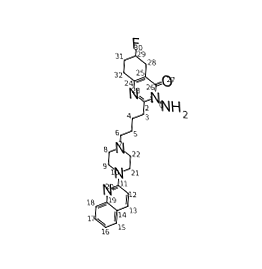 Nn1c(CCCCN2CCN(c3ccc4ccccc4n3)CC2)nc2c(c1=O)CC(F)CC2